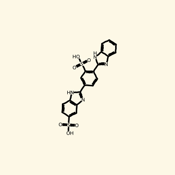 O=S(=O)(O)c1ccc2[nH]c(-c3ccc(-c4nc5ccccc5[nH]4)c(S(=O)(=O)O)c3)nc2c1